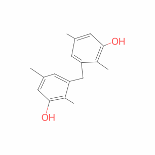 Cc1cc(O)c(C)c(Cc2cc(C)cc(O)c2C)c1